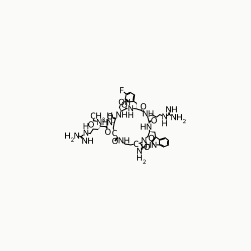 CC(=O)N[C@@H](CCCNC(=N)N)C(=O)N[C@H]1CCC(=O)NCCCC(C(N)=O)NC(=O)[C@H](Cc2c[nH]c3ccccc23)NC(=O)[C@H](CCCNC(=N)N)NC(=O)[C@@H](Cc2ccc(F)cc2)NC(=O)[C@H](CO)NC1=O